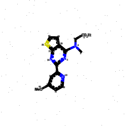 CCOC(=O)CN(C)c1nc(-c2cc(OC)ccn2)nc2sccc12